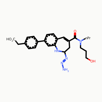 CCCN(CCCO)C(=O)C1=Cc2ccc(-c3ccc(CC(=O)O)cc3)cc2NC(N=NN)C1